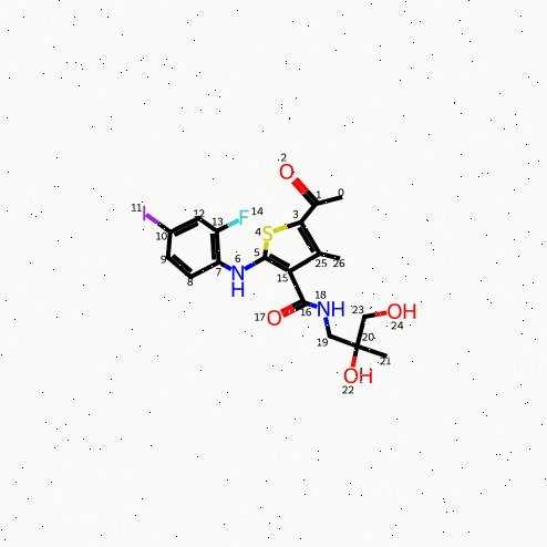 CC(=O)c1sc(Nc2ccc(I)cc2F)c(C(=O)NCC(C)(O)CO)c1C